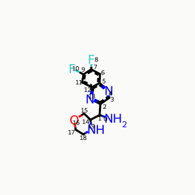 NC(c1cnc2cc(F)c(F)cc2n1)C1COCCN1